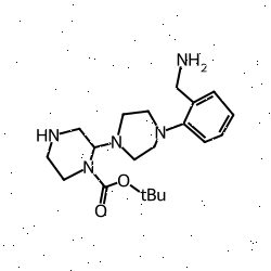 CC(C)(C)OC(=O)N1CCNCC1N1CCN(c2ccccc2CN)CC1